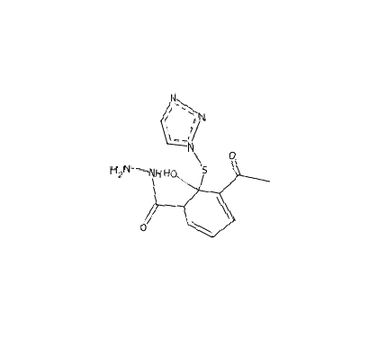 CC(=O)C1=CC=CC(C(=O)NN)C1(O)Sn1ccnn1